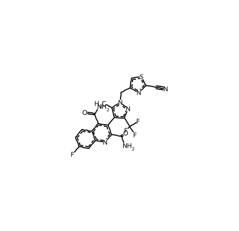 Cc1c(-c2c(C(N)=O)nc3cc(F)ccc3c2C(N)=O)c(C(F)(F)F)nn1Cc1csc(C#N)n1